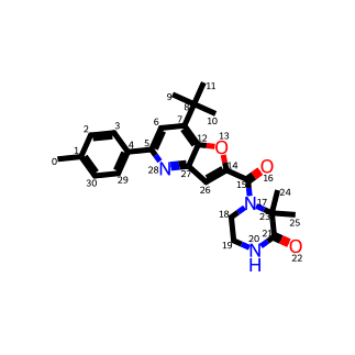 Cc1ccc(-c2cc(C(C)(C)C)c3oc(C(=O)N4CCNC(=O)C4(C)C)cc3n2)cc1